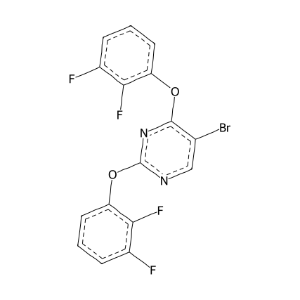 Fc1cccc(Oc2ncc(Br)c(Oc3cccc(F)c3F)n2)c1F